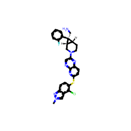 Cn1cc2c(Cl)c(Sc3ccc4nc(N5CC[C@@H]6[C@H](C5)[C@@]6(CN)c5ccccc5F)cnc4n3)ccc2n1